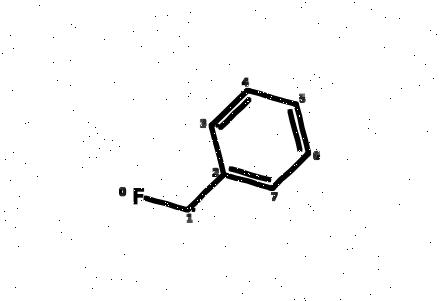 F[CH]c1[c]cccc1